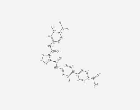 Cc1cc(NC(=O)[C@H]2CCCN2C(=O)Nc2ccc(C(C)C)c(F)c2)ccc1-c1ccc(C(=O)O)cc1